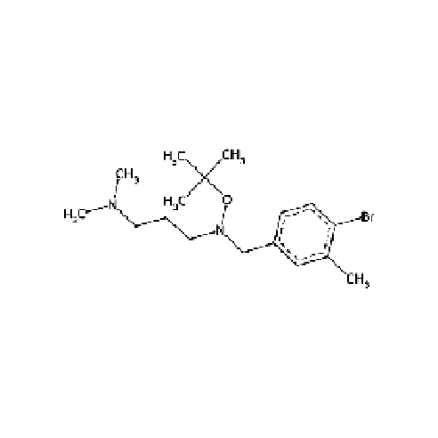 Cc1cc(CN(CCCN(C)C)OC(C)(C)C)ccc1Br